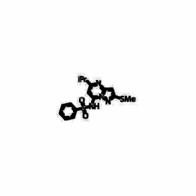 CSc1cc2nc(C(C)C)cc(NS(=O)(=O)c3ccccc3)n2n1